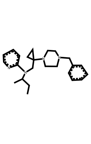 CCC(C)N(CC1(N2CCN(Cc3ccccc3)CC2)CC1)c1ccccn1